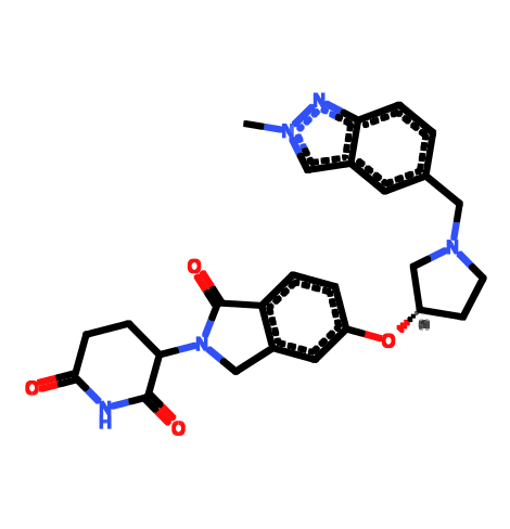 Cn1cc2cc(CN3CC[C@H](Oc4ccc5c(c4)CN(C4CCC(=O)NC4=O)C5=O)C3)ccc2n1